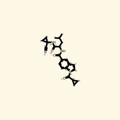 CC(C)CC(NC(=O)c1ccc2c(ccn2C(=O)C2CC2)c1)C(=O)NC1(C#N)CC1